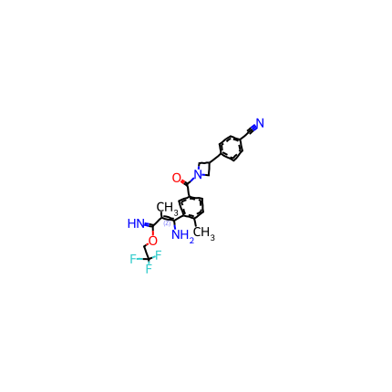 C/C(C(=N)OCC(F)(F)F)=C(/N)c1cc(C(=O)N2CC(c3ccc(C#N)cc3)C2)ccc1C